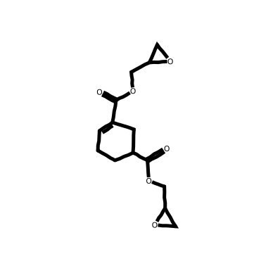 O=C(OCC1CO1)C1=CCCC(C(=O)OCC2CO2)C1